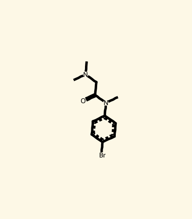 CN(C)CC(=O)N(C)c1ccc(Br)cc1